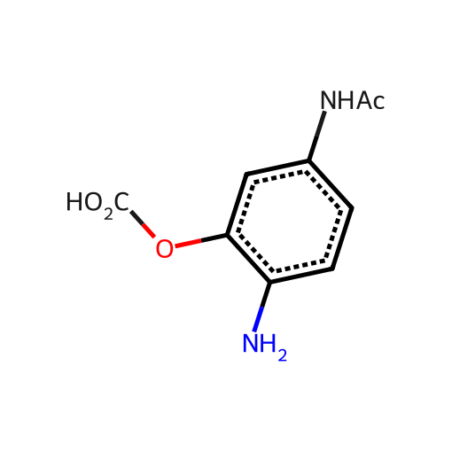 CC(=O)Nc1ccc(N)c(OC(=O)O)c1